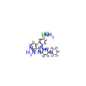 Cl.NCc1ccc(-n2c(-c3cccnc3N)nc3ccc(N4CCCCC4)nc32)cc1